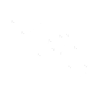 CN(C)CCNc1cc(F)cc(-c2cncc3[nH]c(-c4n[nH]c5cnc(-c6cncc(NC(=O)Cc7ccccc7)c6)c(F)c45)nc23)c1